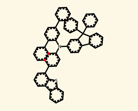 c1ccc(-c2ccc(-c3ccccc3)c(N(c3ccc(-c4cccc5c4sc4ccccc45)cc3)c3ccc4c(c3)C(c3ccccc3)(c3ccccc3)c3ccccc3-4)c2)cc1